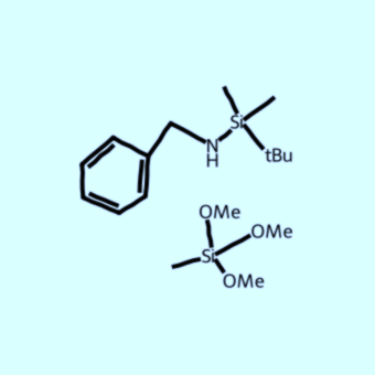 CC(C)(C)[Si](C)(C)NCc1ccccc1.CO[Si](C)(OC)OC